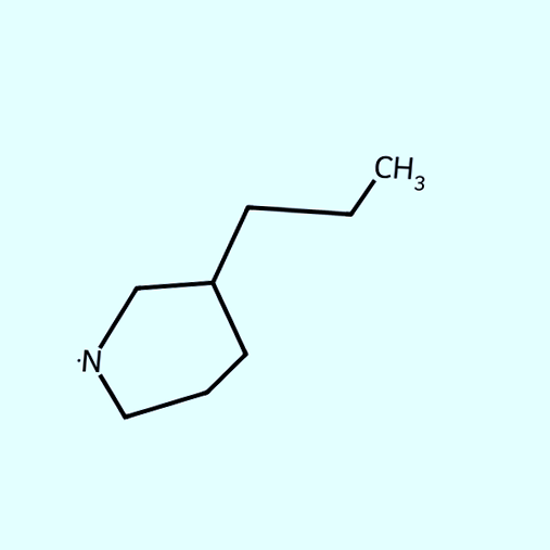 CCCC1CCC[N]C1